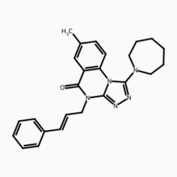 Cc1ccc2c(c1)c(=O)n(CC=Cc1ccccc1)c1nnc(N3CCCCCC3)n21